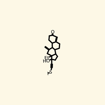 C=C1CC2(CC)C(CCC2(O)C#CSI)C2CCC3=CC(=O)CCC3C12